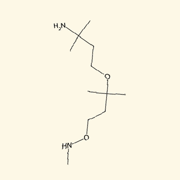 CNOCCC(C)(C)OCCC(C)(C)N